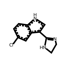 Clc1ccc2[nH]cc(C3=NCCN3)c2c1